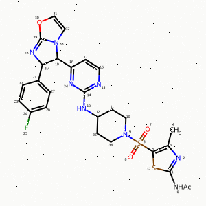 CC(=O)Nc1nc(C)c(S(=O)(=O)N2CCC(Nc3nccc(C4C(c5ccc(F)cc5)N=C5OC=CN54)n3)CC2)s1